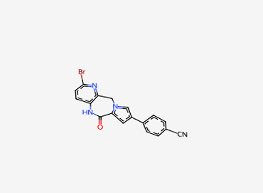 N#Cc1ccc(-c2cc3n(c2)Cc2nc(Br)ccc2NC3=O)cc1